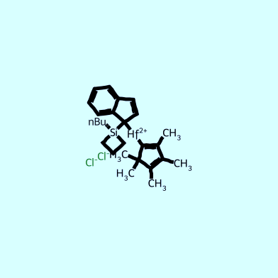 CCCC[Si]1([C]2([Hf+2][C]3=C(C)C(C)=C(C)C3(C)C)C=Cc3ccccc32)CCC1.[Cl-].[Cl-]